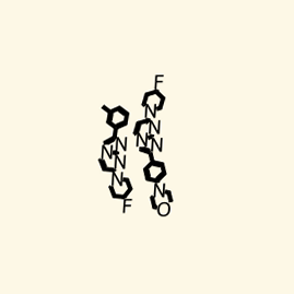 Cc1cccc(-c2cn3ccc(N4CCC(F)CC4)nc3n2)c1.FC1CCN(c2ccn3cc(-c4ccc(N5CCOCC5)cc4)nc3n2)CC1